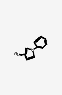 N#Cc1ccn(-c2ccccc2)c1